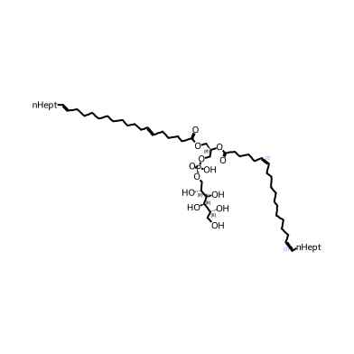 CCCCCCCC=CCCCCCCCCCCC=CCCCCC(=O)OC[C@H](COP(=O)(O)OC[C@@H](O)[C@@H](O)[C@H](O)[C@H](O)CO)OC(=O)CCCC/C=C\CCCCCCCCCC/C=C\CCCCCCC